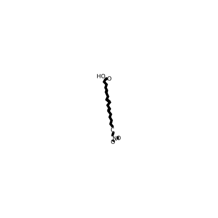 O=C(O)CCCC=CCC=CCC=CCCCCCCCC[N+](=O)[O-]